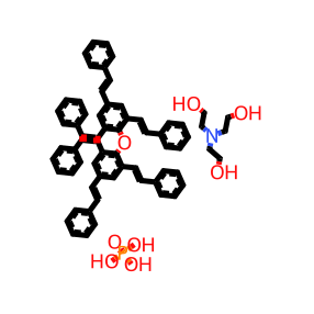 C(=Cc1cc(C=Cc2ccccc2)c(Oc2c(C=Cc3ccccc3)cc(C=Cc3ccccc3)cc2C=Cc2ccccc2)c(C=Cc2ccccc2)c1)c1ccccc1.O=P(O)(O)O.OCCN(CCO)CCO